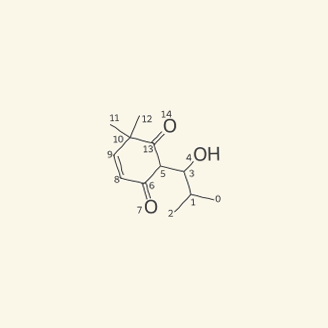 CC(C)C(O)C1C(=O)C=CC(C)(C)C1=O